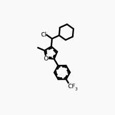 Cc1oc(-c2ccc(C(F)(F)F)cc2)cc1C(Cl)C1CCCCC1